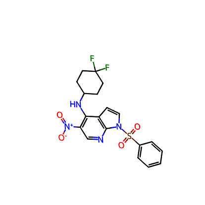 O=[N+]([O-])c1cnc2c(ccn2S(=O)(=O)c2ccccc2)c1NC1CCC(F)(F)CC1